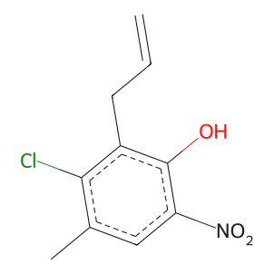 C=CCc1c(O)c([N+](=O)[O-])cc(C)c1Cl